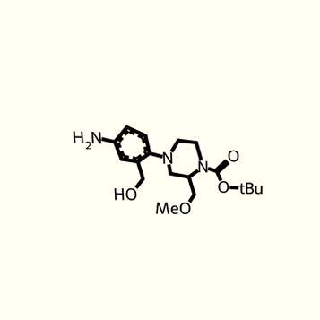 COCC1CN(c2ccc(N)cc2CO)CCN1C(=O)OC(C)(C)C